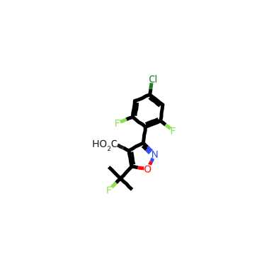 CC(C)(F)c1onc(-c2c(F)cc(Cl)cc2F)c1C(=O)O